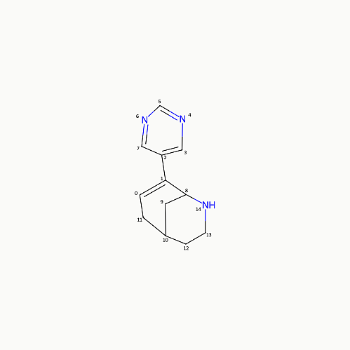 C1=C(c2cncnc2)C2CC(C1)CCN2